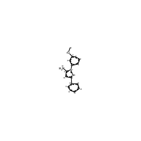 COc1cccc(-n2nc(-c3ccccc3)cc2N)c1